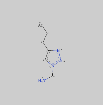 CC(=O)CCc1cn(CN)nn1